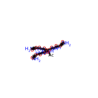 CC(=O)CCCC(=O)NC(COCCC(=O)NCCCNC(=O)CCCCOc1ccc(C(N)=O)cc1)(COCCC(=O)NCCCNC(=O)CCCCOc1ccc(C(N)=O)cc1)COCCC(=O)NCCCNC(=O)CCCOc1ccc(C(N)=O)cc1